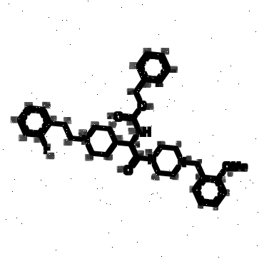 COc1ccccc1CN1CCN(C(=O)[C@H](NC(=O)OCc2ccccc2)C2CCN(CCc3ccccc3F)CC2)CC1